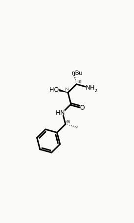 CCCC[C@H](N)[C@H](O)C(=O)N[C@H](C)c1ccccc1